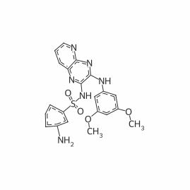 COc1cc(Nc2nc3ncccc3nc2NS(=O)(=O)c2cccc(N)c2)cc(OC)c1